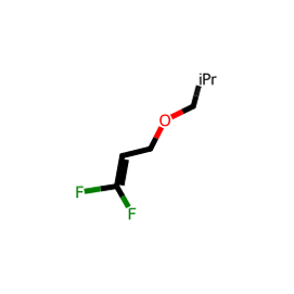 CC(C)COCC=C(F)F